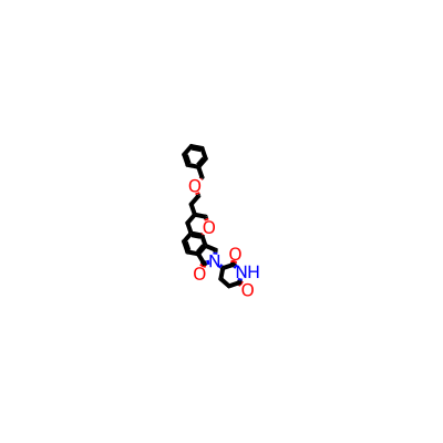 O=C1CCC(N2Cc3c(ccc4c3OCC(CCOCc3ccccc3)C4)C2=O)C(=O)N1